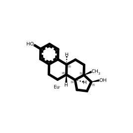 C[C@]12CC[C@@H]3c4ccc(O)cc4CC[C@H]3[C@@H]1CC[C@@H]2O.[Eu]